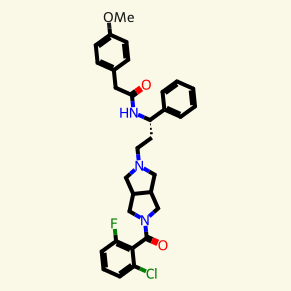 COc1ccc(CC(=O)N[C@@H](CCN2CC3CN(C(=O)c4c(F)cccc4Cl)CC3C2)c2ccccc2)cc1